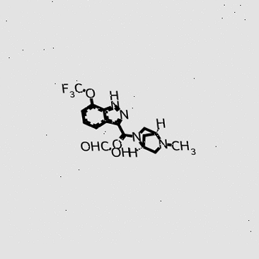 CN1C[C@@H]2C[C@H]1CN2C(=O)c1n[nH]c2c(OC(F)(F)F)cccc12.O=CO